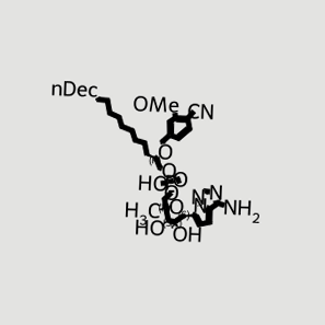 CCCCCCCCCCCCCCCCCCC[C@H](COP(=O)(O)OC[C@@]1(C)O[C@@H](c2ccc3c(N)ncnn23)[C@H](O)[C@@H]1O)OCc1ccc(C#N)c(OC)c1